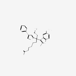 CCC(=O)CCCCCC(CC(N)=O)(c1cc(-c2ccccc2)cs1)c1c(C)[nH]c2ccc(OC)cc12